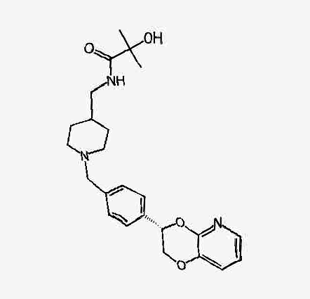 CC(C)(O)C(=O)NCC1CCN(Cc2ccc([C@H]3COc4cccnc4O3)cc2)CC1